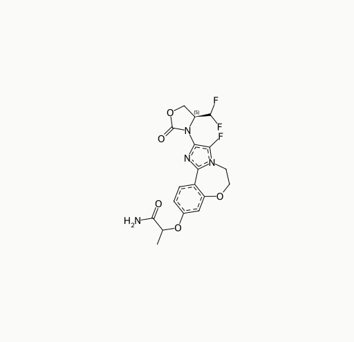 CC(Oc1ccc2c(c1)OCCn1c-2nc(N2C(=O)OC[C@H]2C(F)F)c1F)C(N)=O